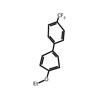 CCOc1ccc(-c2ccc(C(F)(F)F)cc2)cc1